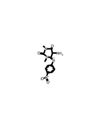 CN1C(=O)C(N)/C(=N/c2ccc([N+](=O)[O-])cc2)N(C)C1=O